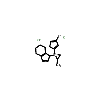 CCC1=CC[C]([Zr+2]2([CH]3C=CC4=C3CCCC4)[CH2][CH]2C)=C1.[Cl-].[Cl-]